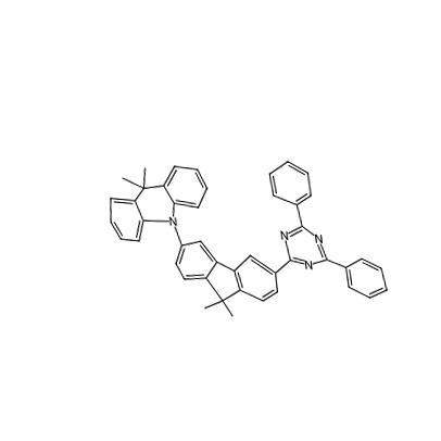 CC1(C)c2ccc(-c3nc(-c4ccccc4)nc(-c4ccccc4)n3)cc2-c2cc(N3c4ccccc4C(C)(C)c4ccccc43)ccc21